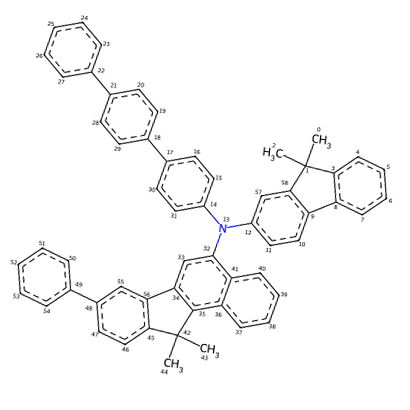 CC1(C)c2ccccc2-c2ccc(N(c3ccc(-c4ccc(-c5ccccc5)cc4)cc3)c3cc4c(c5ccccc35)C(C)(C)c3ccc(-c5ccccc5)cc3-4)cc21